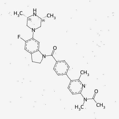 CC(=O)N(C)c1ccc(-c2ccc(C(=O)N3CCc4cc(F)c(N5C[C@@H](C)N[C@@H](C)C5)cc43)cc2)c(C)n1